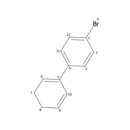 Brc1ccc(C2=CCCC=C2)cc1